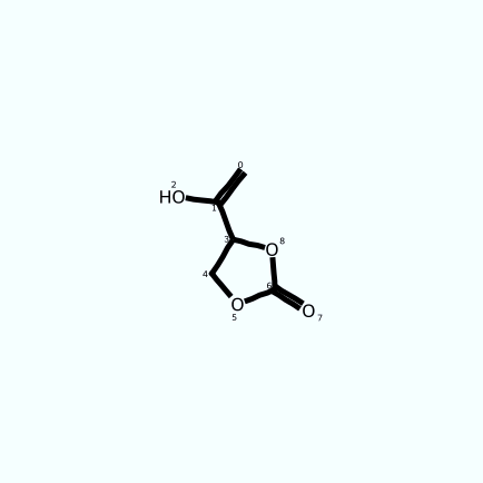 C=C(O)C1COC(=O)O1